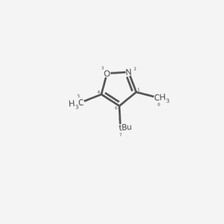 Cc1noc(C)c1C(C)(C)C